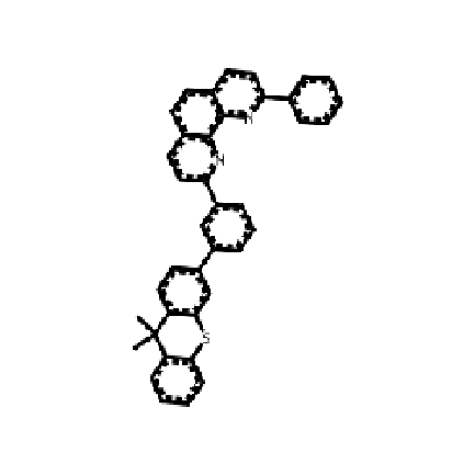 CC1(C)c2ccccc2Sc2cc(-c3cccc(-c4ccc5ccc6ccc(-c7ccccc7)nc6c5n4)c3)ccc21